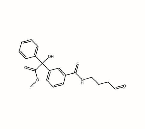 COC(=O)C(O)(c1ccccc1)c1cccc(C(=O)NCCCC=O)c1